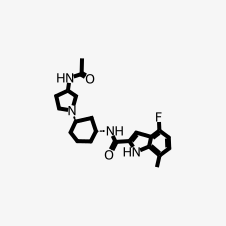 CC(=O)NC1CCN([C@H]2CCC[C@@H](NC(=O)c3cc4c(F)ccc(C)c4[nH]3)C2)C1